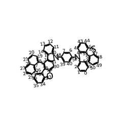 c1ccc(N(c2ccc(-n3c4ccccc4c4c(-c5cccc6ccccc56)c5c(cc43)oc3ccccc35)cc2)c2cccc3sc4ccccc4c23)cc1